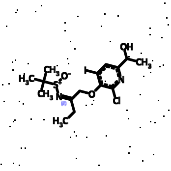 CC/C(COc1c(I)cc(C(C)O)nc1Cl)=N/[S+]([O-])C(C)(C)C